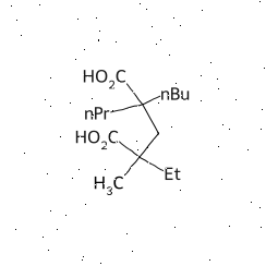 CCCCC(CCC)(CC(C)(CC)C(=O)O)C(=O)O